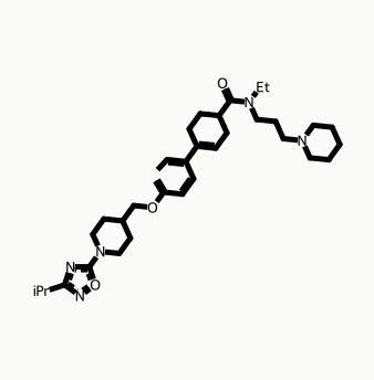 C=C(/C=C\C(=C/C)C1=CCC(C(=O)N(CC)CCCN2CCCCC2)CC1)OCC1CCN(c2nc(C(C)C)no2)CC1